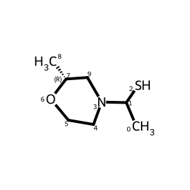 CC(S)N1CCO[C@H](C)C1